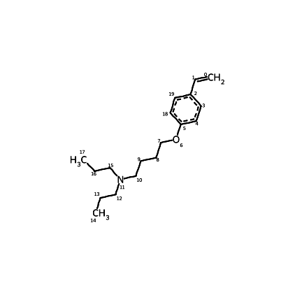 C=Cc1ccc(OCCCCN(CCC)CCC)cc1